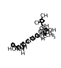 C#Cc1ccc(CNC(=O)[C@@H]2C[C@@H](O)CN2C(=O)[C@@H](NC(=O)[C@H]2CC[C@H](N3CCC(N4CCC(N5CCN6c7cc(-c8ccccc8O)nnc7NC[C@H]6C5)CC4)CC3)CC2)C(C)(C)C)c(Cl)c1